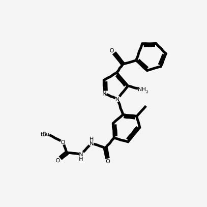 Cc1ccc(C(=O)NNC(=O)OC(C)(C)C)cc1-n1ncc(C(=O)c2ccccc2)c1N